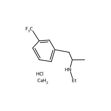 CCNC(C)Cc1cccc(C(F)(F)F)c1.Cl.[CaH2]